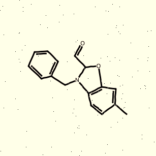 Cc1ccc2c(c1)OC(C=O)N2Cc1ccccc1